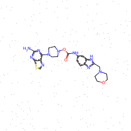 Nc1nc(N2CCN(OC(=O)Nc3ccc4nc(CN5CCOCC5)[nH]c4c3)CC2)c2ncsc2n1